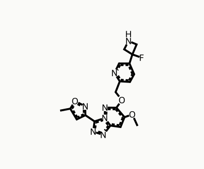 COc1cc2nnc(-c3cc(C)on3)n2nc1OCc1ccc(C2(F)CNC2)cn1